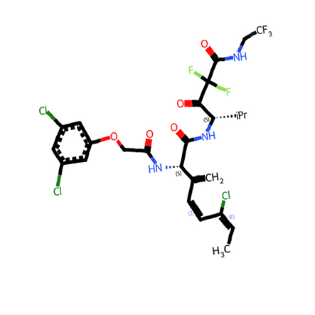 C=C(/C=C\C(Cl)=C/C)[C@H](NC(=O)COc1cc(Cl)cc(Cl)c1)C(=O)N[C@H](C(=O)C(F)(F)C(=O)NCC(F)(F)F)C(C)C